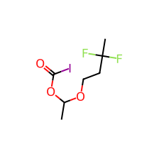 CC(OCCC(C)(F)F)OC(=O)I